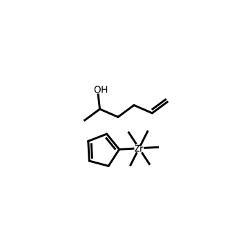 C=CCCC(C)O.[CH3][Zr]([CH3])([CH3])([CH3])([CH3])[C]1=CC=CC1